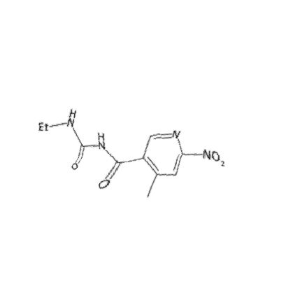 CCNC(=O)NC(=O)c1cnc([N+](=O)[O-])cc1C